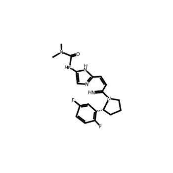 CN(C)C(=O)Nc1cnc(/C=C\C(=N)N2CCC[C@@H]2c2cc(F)ccc2F)[nH]1